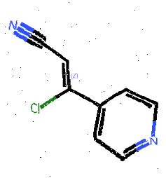 N#C/C=C(\Cl)c1ccncc1